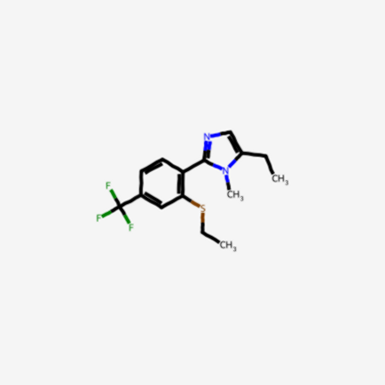 CCSc1cc(C(F)(F)F)ccc1-c1ncc(CC)n1C